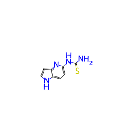 NC(=S)Nc1ccc2[nH]ccc2n1